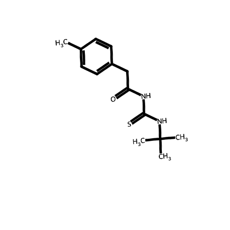 Cc1ccc(CC(=O)NC(=S)NC(C)(C)C)cc1